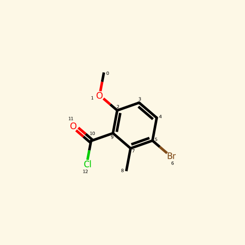 COc1ccc(Br)c(C)c1C(=O)Cl